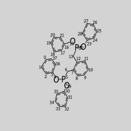 c1ccc(OP(Cc2ccccc2CP(Oc2ccccc2)Oc2ccccc2)Oc2ccccc2)cc1